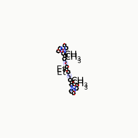 CCC1(CC)c2cc(/C=C/c3ccc4c(c3)C(C)(C)c3cc(N(c5cccc6ccccc56)c5cccc6ccccc56)ccc3-4)ccc2-c2ccc(/C=C/c3ccc4c(c3)C(C)(C)c3cc(N(c5cccc6ccccc56)c5cccc6ccccc56)ccc3-4)cc21